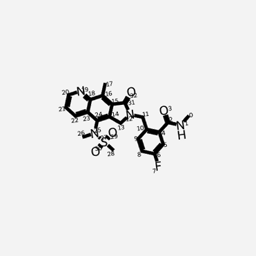 CNC(=O)c1cc(F)ccc1CN1Cc2c(c(C)c3ncccc3c2N(C)S(C)(=O)=O)C1=O